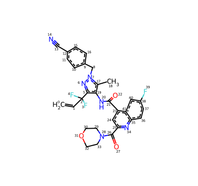 C=CC(F)(F)c1nn(Cc2ccc(C#N)cc2)c(C)c1NC(=O)c1cc(C(=O)N2CCOCC2)nc2ccc(F)cc12